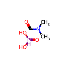 CN(C)C=O.O=[PH](O)O